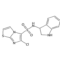 O=S(=O)(NC1CNc2ccccc21)c1c(Cl)nc2sccn12